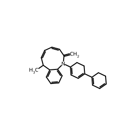 C=C1/C=C\C=C/C(C)c2ccccc2N1C1=CC=C(C2=CC=CCC2)CC1